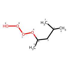 CC(C)CC(C)OOOO